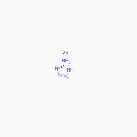 [NH2][Zn].c1nnn[nH]1